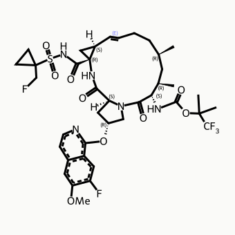 COc1cc2ccnc(O[C@@H]3C[C@H]4C(=O)N[C@]5(C(=O)NS(=O)(=O)C6(CF)CC6)C[C@H]5/C=C/CC[C@@H](C)C[C@@H](C)[C@H](NC(=O)OC(C)(C)C(F)(F)F)C(=O)N4C3)c2cc1F